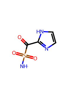 [NH]S(=O)(=O)C(=O)c1ncc[nH]1